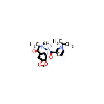 CC(C)N1C=CCC(C(=O)NCN(C)C(C)C(=O)c2ccc3c(c2)OCO3)=C1